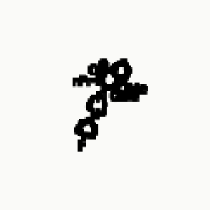 CCCN1C(N2CCN(c3ccc(F)cc3)CC2)C(OC)(OC)c2ccccc2S1(=O)=O